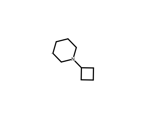 [CH]1CCCN(C2CCC2)C1